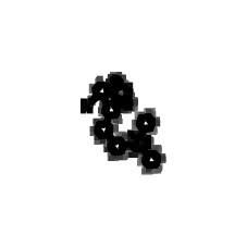 N#Cc1cccc2c1-c1cc(-c3cccc(-c4cccc(-c5cc(-c6ccccc6)nc(-c6ccccc6)n5)c4)c3)ccc1C21c2ccccc2Sc2ccccc21